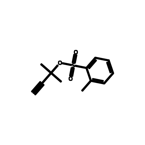 C#CC(C)(C)OS(=O)(=O)c1ccccc1C